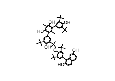 Cc1c(O)c(-c2cc(C(C)(C)C)c(O)c(C(C)(C)C)c2)c(C)c(-c2cc(C(C)(C)C)c(O)c(C(C)(C)COc3c(C(C)(C)C)cc(-c4c(O)ccc5ccc(O)cc45)cc3C(C)(C)C)c2)c1O